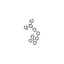 c1ccc(C2(c3ccccc3)c3ccccc3-c3ccc(-c4cccc(-c5ccc(-c6cc(-c7ccccn7)nc(-c7ccccn7)c6)cc5)c4)cc32)cc1